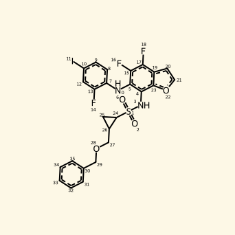 O=S(=O)(Nc1c(Nc2ccc(I)cc2F)c(F)c(F)c2ccoc12)C1CC1COCc1ccccc1